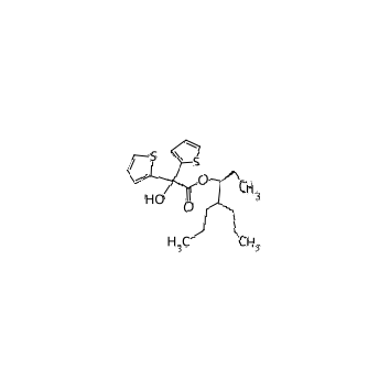 CCCC(CCC)[C@H](CC)OC(=O)C(O)(c1cccs1)c1cccs1